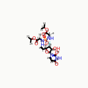 C=C[C@]1(COP(=O)(N[C@@H](C)C(=O)OC(C)C)N[C@@H](C)C(=O)OC(C)C)O[C@@H](n2ccc(=O)[nH]c2=O)[C@H](O)[C@@H]1F